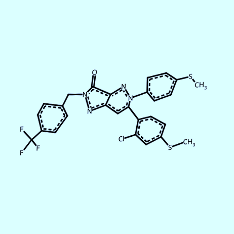 CSc1ccc(-n2nc3c(=O)n(Cc4ccc(C(F)(F)F)cc4)nc-3cc2-c2ccc(SC)cc2Cl)cc1